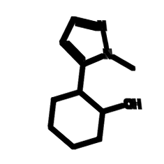 Cn1nccc1C1CCCCC1O